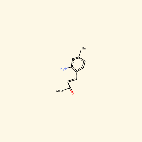 CCCCc1ccc(C=CC(=O)OC)c(N)c1